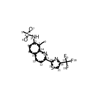 Cc1c(NS(C)(=O)=O)ccc2[c]cc(-c3nc(C(F)(F)F)cs3)nc12